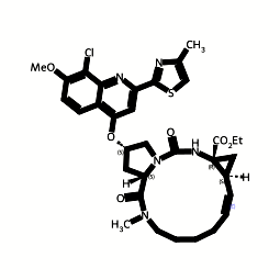 CCOC(=O)[C@@]12C[C@H]1/C=C\CCCCN(C)C(=O)[C@@H]1C[C@H](Oc3cc(-c4nc(C)cs4)nc4c(Cl)c(OC)ccc34)CN1C(=O)N2